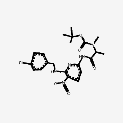 CC(C(=O)Nc1ccc([N+](=O)[O-])c(NCc2ccc(Cl)cc2)n1)N(C)C(=O)OC(C)(C)C